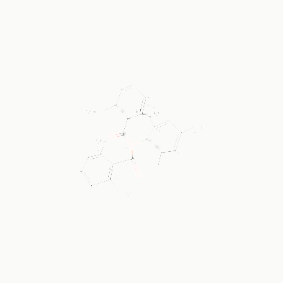 COc1cccc(OC)c1C(=O)P(C(=O)c1c(OC)cccc1OC)c1c(C)cc(C)cc1C